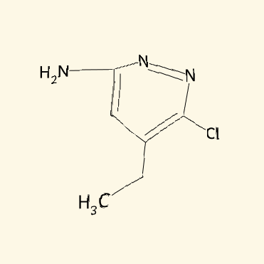 CCc1cc(N)nnc1Cl